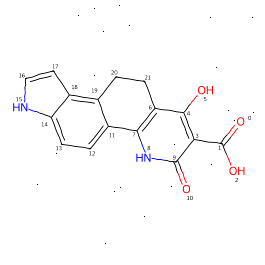 O=C(O)c1c(O)c2c([nH]c1=O)-c1ccc3[nH]ccc3c1CC2